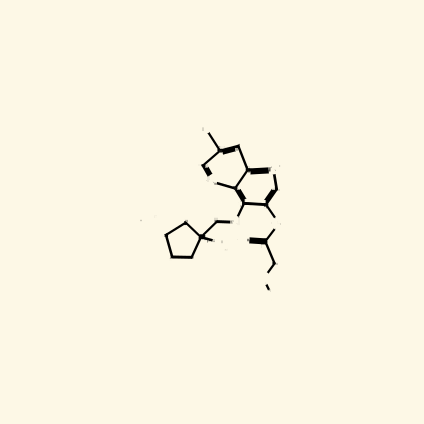 CCOCC(=O)Nc1cnc2cc(Br)cnc2c1NCC1(O)CCCC1.Cl